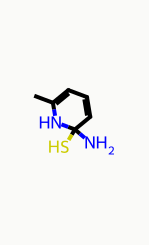 CC1=CC=CC(N)(S)N1